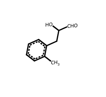 Cc1ccccc1CC(O)C=O